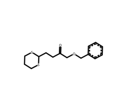 O=C(CCC1SCCCS1)COCc1ccccc1